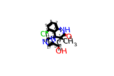 CC1(C)C(=O)Nc2cccc(Cl)c2C1n1cncc1CO